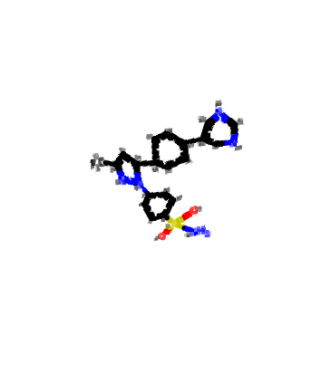 NS(=O)(=O)c1ccc(-n2nc(C(F)(F)F)cc2-c2ccc(-c3cncnc3)cc2)cc1